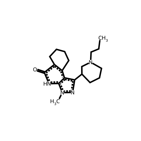 CCCN1CCCC(c2nn(C)c3[nH]c(=O)c4c(c23)CCCC4)C1